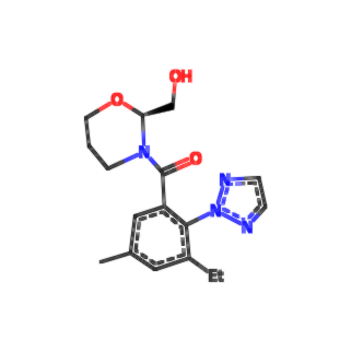 CCc1cc(C)cc(C(=O)N2CCCO[C@H]2CO)c1-n1nccn1